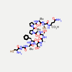 CC[C@H](C)[C@H](NC(=O)CNC(=O)[C@@H](N)CS)C(=O)N[C@@H](Cc1ccccc1)C(=O)N[C@H](C(=O)N[C@@H](C)C(=O)N[C@@H](CO)C(=O)N[C@H](C(=O)N1CCC[C@H]1C(=O)N1CCC[C@H]1C(=O)N[C@H](C(=O)N[C@@H](CS)C(=O)N[C@@H](CCC(N)=O)C(=O)O)[C@@H](C)CC)[C@@H](C)CC)[C@@H](C)O